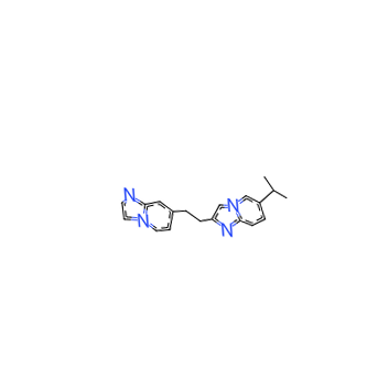 CC(C)c1ccc2nc(CCc3ccn4ccnc4c3)cn2c1